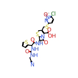 N#CCNC(=O)NC(C(=O)N[C@H]1C(=O)N2C(C(=O)O)=C(CSc3ccc(Cl)[n+]([O-])n3)CSC12)c1cccs1